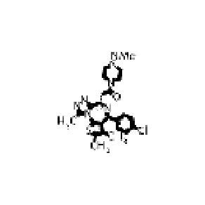 CNN1CCN(C(=O)C[C@@H]2N=C(c3ccc(Cl)cc3)c3c(sc(C)c3C)-n3c(C)nnc32)CC1